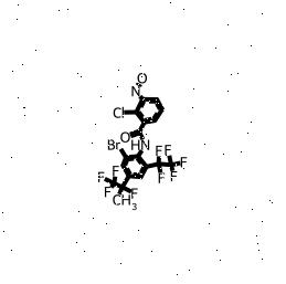 CC(F)(c1cc(Br)c(NC(=O)c2cccc(N=O)c2Cl)c(C(F)(F)C(F)(F)F)c1)C(F)(F)F